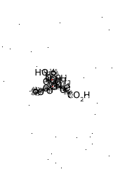 CC(CC(C)(CC(C)(CC(C)c1ccccc1)C(=O)OCCOC(=O)CCC(=O)O)C(=O)OCCO)C(=O)OCCOc1ccccc1